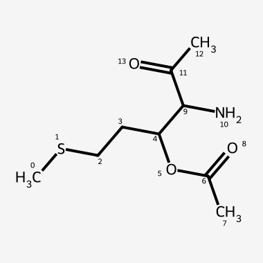 CSCCC(OC(C)=O)C(N)C(C)=O